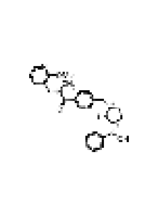 COc1ncccc1CN(C)C(=O)c1ccc(C[C@@H]2CC[C@H](C(O)c3ccccc3)N2)cc1